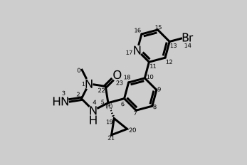 CN1C(=N)N[C@@](c2cccc(-c3cc(Br)ccn3)c2)(C2CC2)C1=O